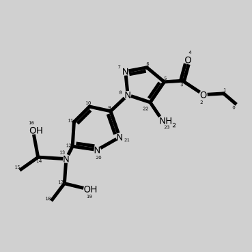 CCOC(=O)c1cnn(-c2ccc(N(C(C)O)C(C)O)nn2)c1N